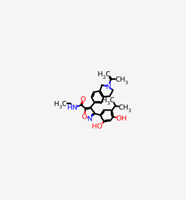 C=C(C)N1CCc2cc(-c3c(-c4cc(C(C)C)c(O)cc4O)noc3C(=O)NCC)ccc2C1